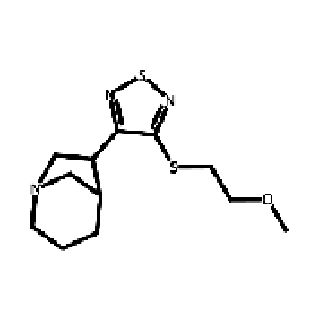 COCCSc1nsnc1C1CN2CCCC1C2